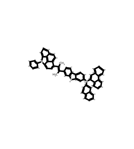 C/C(=C(/C)c1ccc2c3c1ccc1cccc(c13)n2-c1ccccc1)c1ccc2c(c1)sc1cc(N(c3ccc4ccccc4c3)c3cc4ccccc4c4ccccc34)ccc12